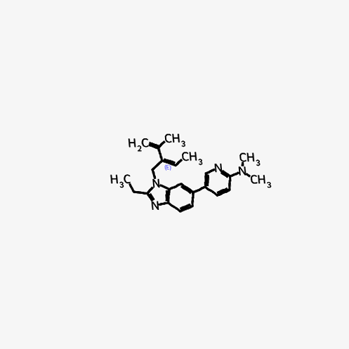 C=C(C)/C(=C\C)Cn1c(CC)nc2ccc(-c3ccc(N(C)C)nc3)cc21